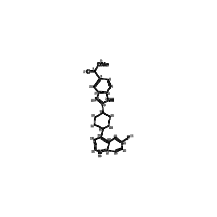 COC(=O)c1ccc2[nH]c(C3CCC(c4ccnc5ccc(F)cc45)CC3)nc2c1